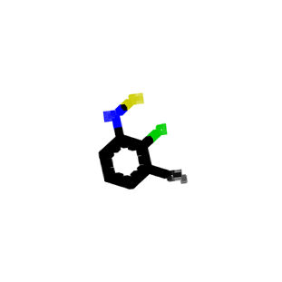 Cc1cccc(NS)c1Cl